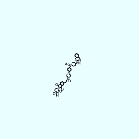 CC(=O)N(c1ccc(N2CCN(C(=O)/C=C/c3ccc4c(c3)C(=O)N(C3CCC(=O)NC3=O)C4=O)CC2)cc1)C1CCC(Nc2ncc3ccccc3n2)CC1